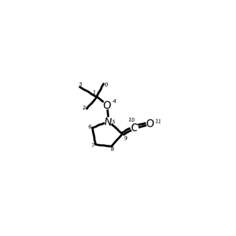 CC(C)(C)ON1CCCC1=C=O